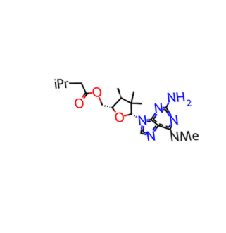 CNc1nc(N)nc2c1ncn2[C@@H]1O[C@H](COC(=O)CC(C)C)[C@@H](C)C1(C)C